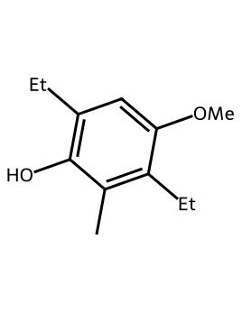 CCc1cc(OC)c(CC)c(C)c1O